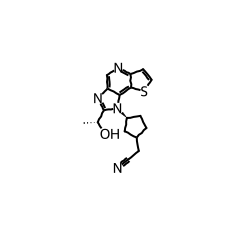 C[C@@H](O)c1nc2cnc3ccsc3c2n1[C@H]1CCC(CC#N)C1